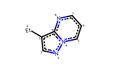 CCc1cnn2cccnc12